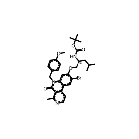 COc1ccc(Cn2c(=O)c3c(C)nccc3c3cc(Br)c(OC[C@H](CC(C)C)NC(=O)OC(C)(C)C)cc32)cc1